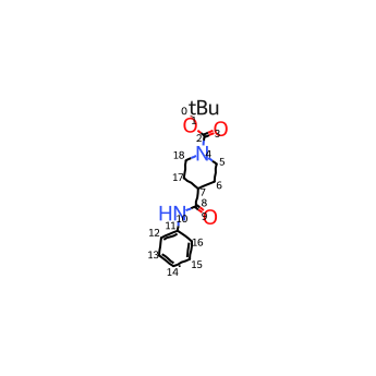 CC(C)(C)OC(=O)N1CCC(C(=O)Nc2cc[c]cc2)CC1